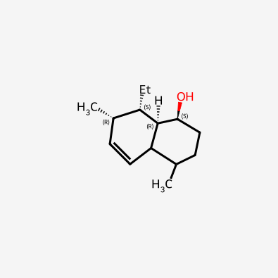 CC[C@@H]1[C@@H]2C(C=C[C@@H]1C)C(C)CC[C@@H]2O